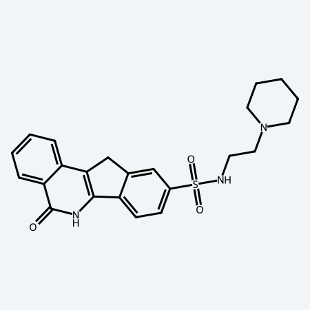 O=c1[nH]c2c(c3ccccc13)Cc1cc(S(=O)(=O)NCCN3CCCCC3)ccc1-2